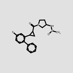 C[S+]([O-])NC1CCN(C(=O)C2CC2c2cc(F)ccc2-c2ccccc2)C1